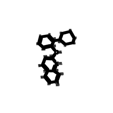 c1ccc(C2CCCCC2)c(Oc2ccc3ccncc3n2)c1